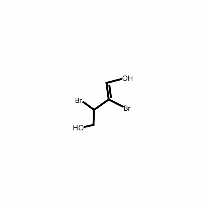 OC=C(Br)C(Br)CO